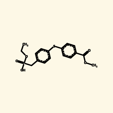 CCOP(=O)(O)Cc1ccc(Sc2ccc(C(=O)OC)cc2)cc1